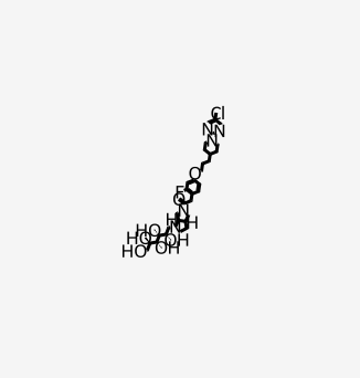 O=C(Cc1ccc(OCCCC2CCN(c3ncc(Cl)cn3)CC2)cc1F)N1C[C@@H]2CCN(C[C@H](O)[C@@H](O)[C@H](O)[C@H](O)CO)[C@@H]2C1